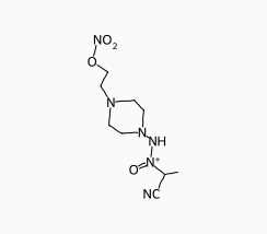 CC(C#N)[N+](=O)NN1CCN(CCO[N+](=O)[O-])CC1